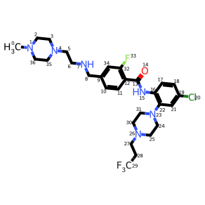 CN1CCN(CCNCc2ccc(C(=O)Nc3ccc(Cl)cc3N3CCN(CCC(F)(F)F)CC3)c(F)c2)CC1